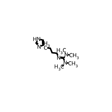 CCCCN=C(N(C)C)N(C)C.c1c[nH]cn1